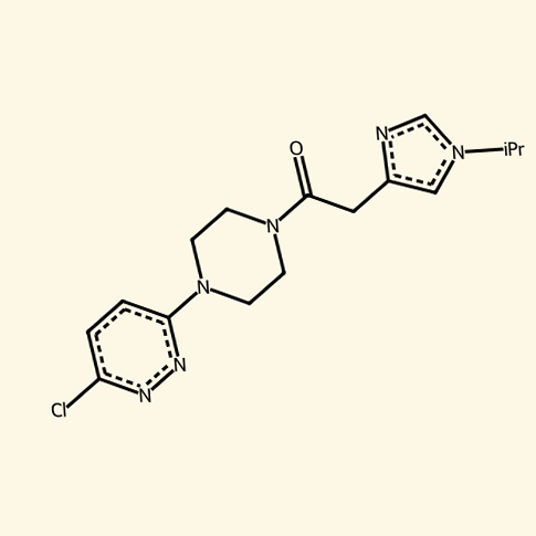 CC(C)n1cnc(CC(=O)N2CCN(c3ccc(Cl)nn3)CC2)c1